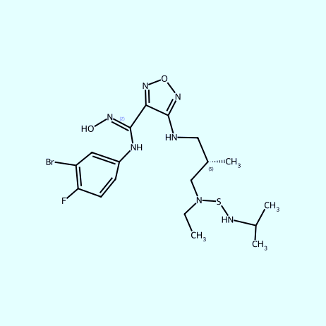 CCN(C[C@@H](C)CNc1nonc1/C(=N/O)Nc1ccc(F)c(Br)c1)SNC(C)C